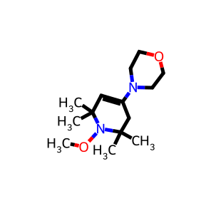 CON1C(C)(C)C=C(N2CCOCC2)CC1(C)C